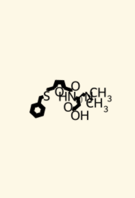 CN(C)C[C@@H](CC(=O)O)NC(=O)c1ccc(CSCc2ccccc2)o1